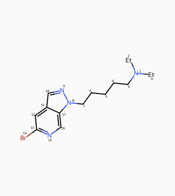 CCN(CC)CCCCCn1ncc2cc(Br)ncc21